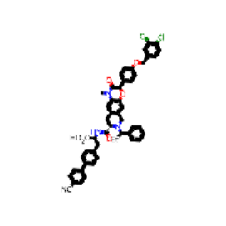 CCC(c1ccccc1)N1Cc2cc3c(cc2C[C@H]1C(=O)N[C@@H](Cc1ccc(-c2ccc(C#N)cc2)cc1)C(=O)O)N(C)C(=O)C(c1ccc(OCc2ccc(Cl)c(Cl)c2)cc1)O3